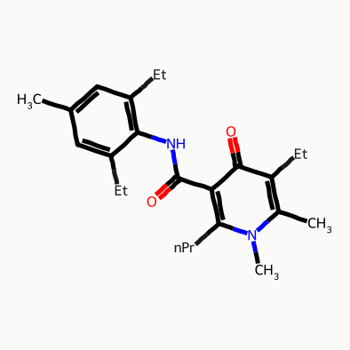 CCCc1c(C(=O)Nc2c(CC)cc(C)cc2CC)c(=O)c(CC)c(C)n1C